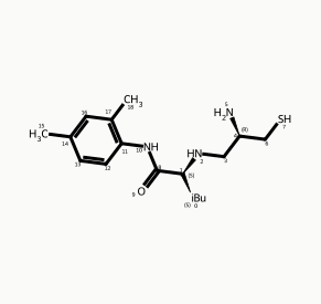 CC[C@H](C)[C@H](NC[C@@H](N)CS)C(=O)Nc1ccc(C)cc1C